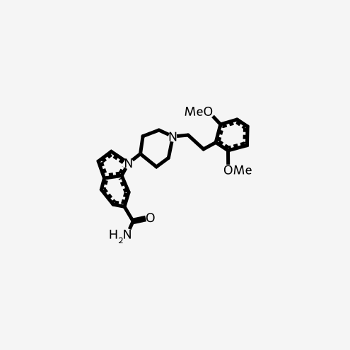 COc1cccc(OC)c1CCN1CCC(n2ccc3ccc(C(N)=O)cc32)CC1